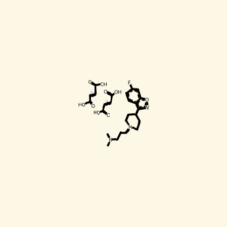 CN(C)CCCN1CCC(c2noc3cc(F)ccc23)CC1.O=C(O)/C=C/C(=O)O.O=C(O)/C=C/C(=O)O